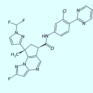 C[C@@]1(c2ccn(C(F)F)n2)C[C@@H](C(=O)Nc2ccc(-c3ncccn3)c(Cl)c2)c2cnc3cc(F)nn3c21